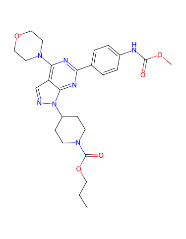 CCCOC(=O)N1CCC(n2ncc3c(N4CCOCC4)nc(-c4ccc(NC(=O)OC)cc4)nc32)CC1